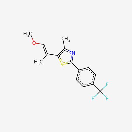 CO/C=C(\C)c1sc(-c2ccc(C(F)(F)F)cc2)nc1C